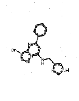 Brc1cnn2c(NCc3c[nH]cn3)cc(-c3ccccc3)nc12